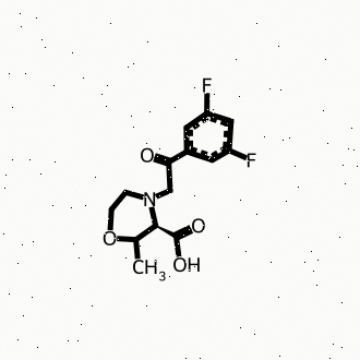 CC1OCCN(CC(=O)c2cc(F)cc(F)c2)[C@H]1C(=O)O